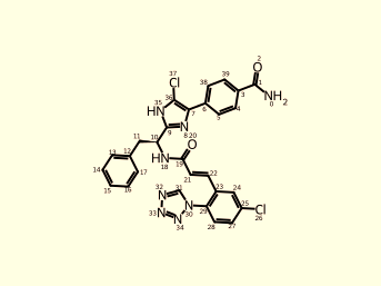 NC(=O)c1ccc(-c2nc([C@H](Cc3ccccc3)NC(=O)C=Cc3cc(Cl)ccc3-n3cnnn3)[nH]c2Cl)cc1